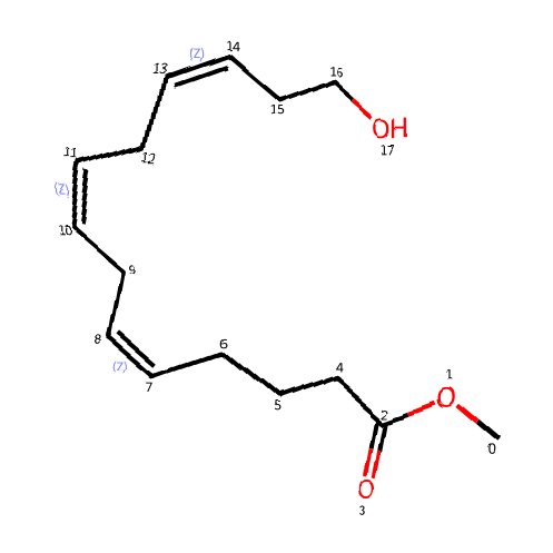 COC(=O)CCC/C=C\C/C=C\C/C=C\CCO